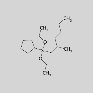 CCCCC(C)C[Si](OCC)(OCC)C1CCCC1